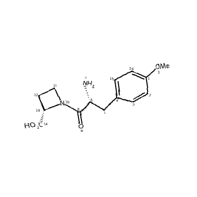 COc1ccc(C[C@@H](N)C(=O)N2CC[C@H]2C(=O)O)cc1